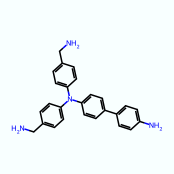 NCc1ccc(N(c2ccc(CN)cc2)c2ccc(-c3ccc(N)cc3)cc2)cc1